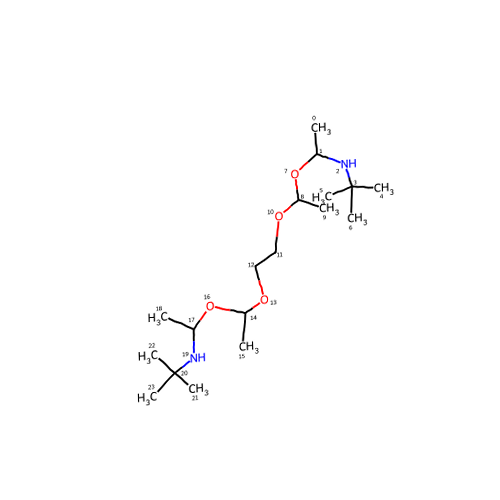 CC(NC(C)(C)C)OC(C)OCCOC(C)OC(C)NC(C)(C)C